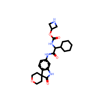 O=C(NC(C(=O)Nc1ccc2c(c1)NC(=O)C21CCOCC1)C1CCCCC1)OC1CNC1